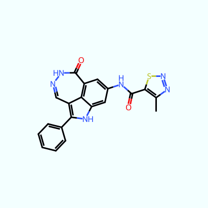 Cc1nnsc1C(=O)Nc1cc2c3c(c(-c4ccccc4)[nH]c3c1)C=NNC2=O